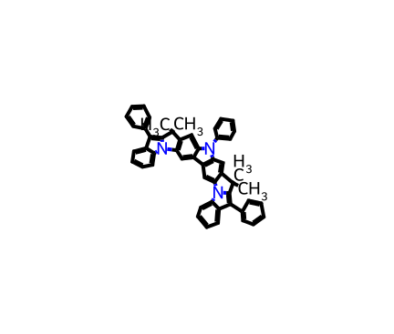 CC1(C)c2cc3c(cc2-n2c1c(-c1ccccc1)c1ccccc12)c1cc2c(cc1n3-c1ccccc1)C(C)(C)c1c(-c3ccccc3)c3ccccc3n1-2